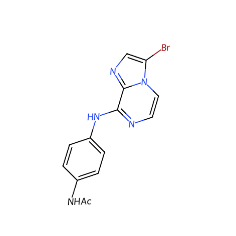 CC(=O)Nc1ccc(Nc2nccn3c(Br)cnc23)cc1